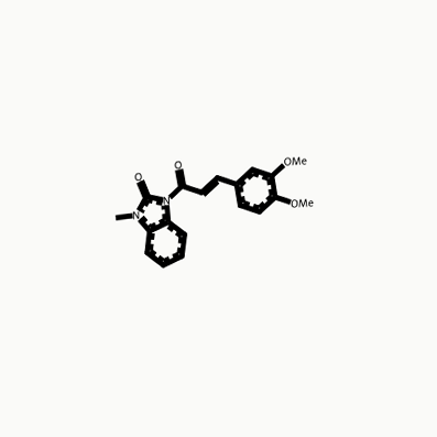 COc1ccc(C=CC(=O)n2c(=O)n(C)c3ccccc32)cc1OC